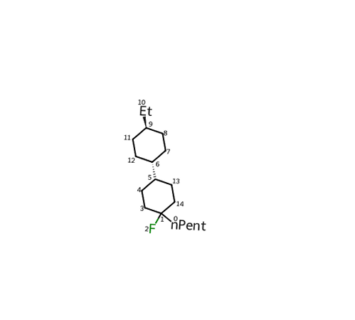 CCCCCC1(F)CCC([C@H]2CC[C@H](CC)CC2)CC1